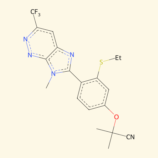 CCSc1cc(OC(C)(C)C#N)ccc1-c1nc2cc(C(F)(F)F)nnc2n1C